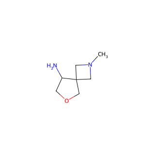 CN1CC2(COCC2N)C1